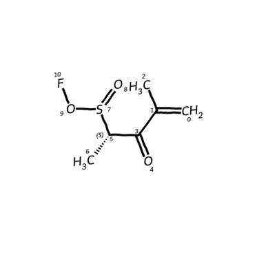 C=C(C)C(=O)[C@H](C)S(=O)OF